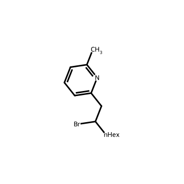 CCCCCCC(Br)Cc1cccc(C)n1